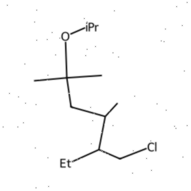 CCC(CCl)C(C)CC(C)(C)OC(C)C